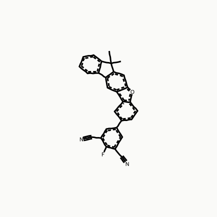 CC1(C)c2ccccc2-c2cc3c(cc21)oc1ccc(-c2cc(C#N)c(F)c(C#N)c2)cc13